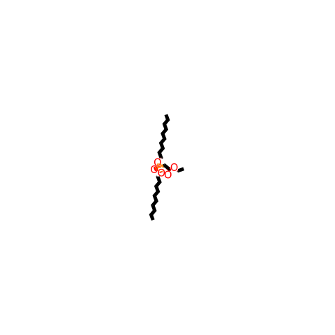 CCCCCCCCCCOP(=O)(CC(=O)OCC)OCCCCCCCCCC